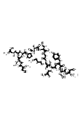 C[C@H](NC(=O)[C@@H]1CCCN1C(=O)[C@H](CCCNC(=N)N)NC(=O)[C@H](CS)NC(=O)[C@@H](N)CS)C(=O)N[C@@H](CS)C(=O)NCC(=O)N[C@@H](CCCCN)C(=O)N[C@@H](CCC(N)=O)C(=O)N[C@@H](Cc1ccc(O)cc1)C(=O)N[C@@H](CO)C(=O)N[C@@H](CS)C(=O)O